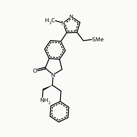 CSCc1cnn(C)c1-c1ccc2c(c1)CN([C@H](CN)Cc1ccccc1)C2=O